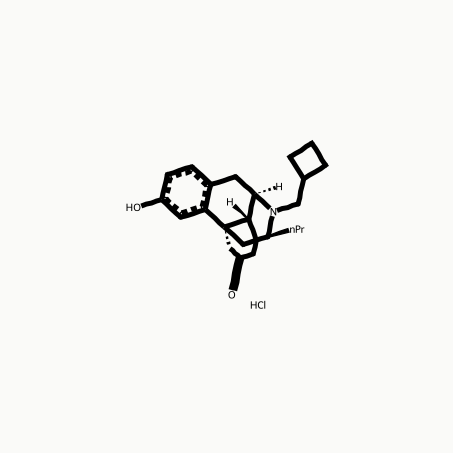 CCC[C@H]1CC(=O)C[C@]23CCN(CC4CCC4)[C@H](Cc4ccc(O)cc42)[C@H]13.Cl